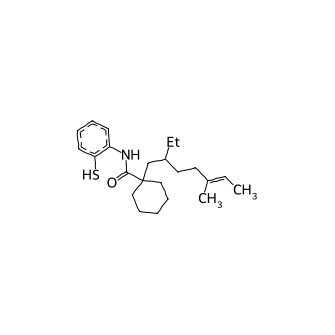 C/C=C(\C)CCC(CC)CC1(C(=O)Nc2ccccc2S)CCCCC1